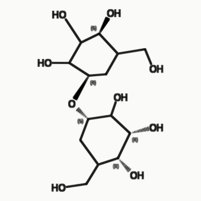 OCC1C[C@@H](O[C@H]2CC(CO)[C@@H](O)[C@@H](O)C2O)C(O)C(O)[C@H]1O